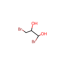 OC(Br)C(O)CBr